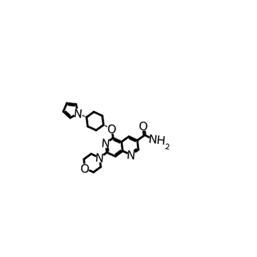 NC(=O)c1cnc2cc(N3CCOCC3)nc(O[C@H]3CC[C@@H](n4cccc4)CC3)c2c1